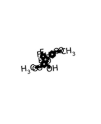 COCOc1ccc([C@H]2Oc3c(CO)cc(OCOC)cc3[C@H]3CC(F)(F)C[C@H]32)cc1